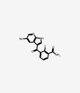 N#Cc1cnc2[nH]cc(C(=O)c3cccc(C(N)=O)c3F)c2c1